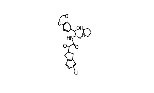 O=C(N[C@H](CN1CCCC1)[C@H](O)c1ccc2c(c1)OCCO2)C(=O)C1Cc2ccc(Cl)cc2C1